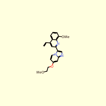 C=Cc1cc(-c2cnc3cc(OCCOC)ccn23)nc2c(OC)cccc12